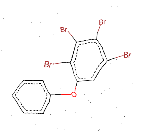 Brc1cc(Oc2ccccc2)c(Br)c(Br)c1Br